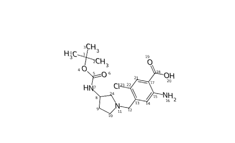 CC(C)(C)OC(=O)NC1CCN(Cc2cc(N)c(C(=O)O)cc2Cl)C1